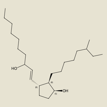 CCCCCCCC(O)C=C[C@H]1CC[C@H](O)[C@@H]1CCCCCC(C)CC